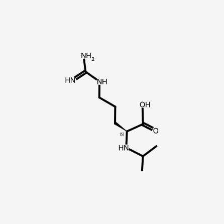 CC(C)N[C@@H](CCCNC(=N)N)C(=O)O